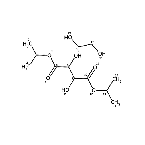 CC(C)OC(=O)C(O)C(O)C(=O)OC(C)C.OCCO